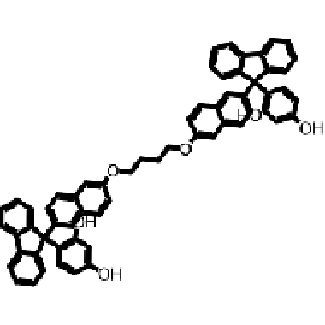 Oc1ccc(C2(c3ccc4cc(OCCCCOc5ccc6cc(C7(c8ccc(O)cc8O)c8ccccc8-c8ccccc87)ccc6c5)ccc4c3)c3ccccc3-c3ccccc32)c(O)c1